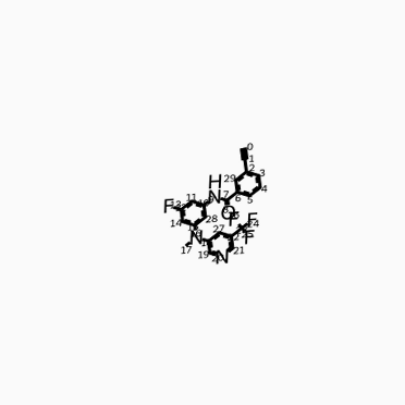 C#Cc1cccc(C(=O)Nc2cc(F)cc(N(C)c3cncc(C(F)(F)F)c3)c2)c1